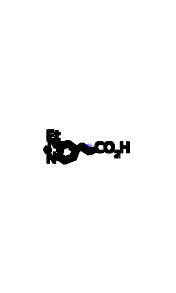 CCn1cnc2ccc(/C=C/C(=O)O)cc21